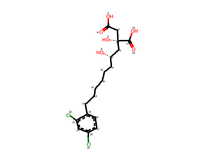 O=C(O)C[C@](O)(C[C@@H](O)CCCCCCc1ccc(Cl)cc1Cl)C(=O)O